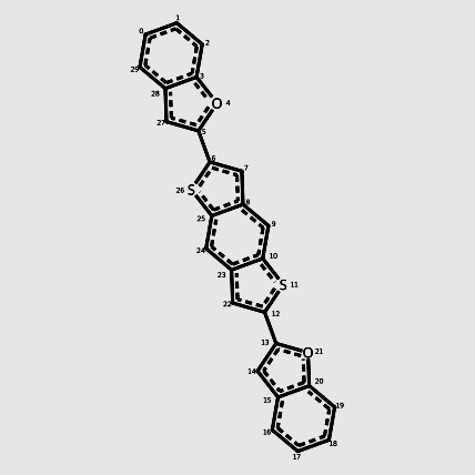 c1ccc2oc(-c3cc4cc5sc(-c6cc7ccccc7o6)cc5cc4s3)cc2c1